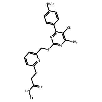 [CH2]CNC(=O)CCc1cccc(CSc2nc(N)c(C#N)c(-c3ccc(NC(C)=O)cc3)n2)n1